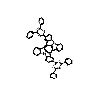 c1ccc(-c2nc(-c3ccccc3)nc(-c3ccc4c(c3)c3c5c6ccccc6n6c7ccc(-c8nc(-c9ccccc9)nc(-c9ccccc9)n8)cc7c(c7c8ccccc8n4c73)c56)n2)cc1